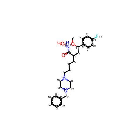 COC(CC(CCCCN1CCN(Cc2ccccc2)CC1)C(=O)NO)c1ccc(F)cc1